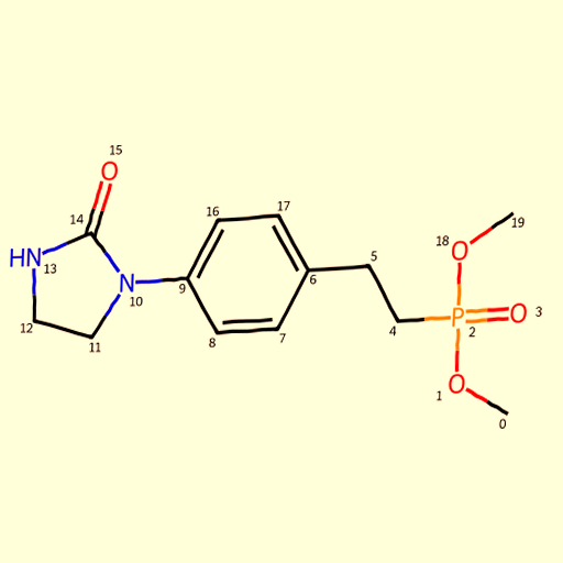 COP(=O)(CCc1ccc(N2CCNC2=O)cc1)OC